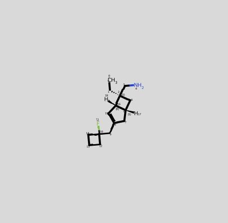 CC[C@]1(CN)C[C@@H]2CC(CC3(F)CCC3)=C[C@@H]21